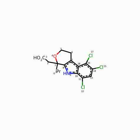 CC(C)C1(CC(=O)O)OCCc2c1[nH]c1c(Cl)cc(Cl)c(Cl)c21